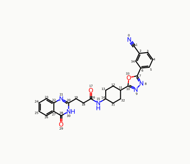 N#Cc1cccc(-c2nnc(C3CCC(NC(=O)CCc4nc5ccccc5c(=O)[nH]4)CC3)o2)c1